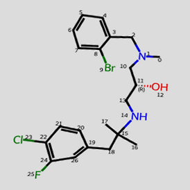 CN(Cc1ccccc1Br)C[C@H](O)CNC(C)(C)Cc1ccc(Cl)c(F)c1